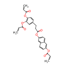 C=CC(=O)Oc1ccc2cc(OC(=O)CCc3ccc(OC(=O)C=C)c(OC(=O)C=C)c3)ccc2c1